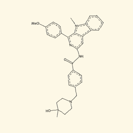 COc1ccc(-c2nc(NC(=O)c3ccc(CN4CCC(C)(O)CC4)cc3)cc3c4ccccc4n(C)c23)cc1